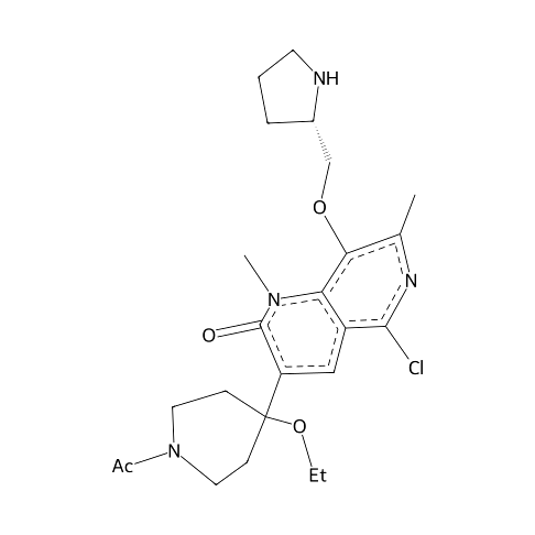 CCOC1(c2cc3c(Cl)nc(C)c(OC[C@@H]4CCCN4)c3n(C)c2=O)CCN(C(C)=O)CC1